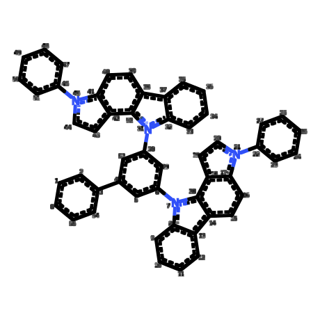 c1ccc(-c2cc(-n3c4ccccc4c4ccc5c(ccn5-c5ccccc5)c43)cc(-n3c4ccccc4c4ccc5c(ccn5-c5ccccc5)c43)c2)cc1